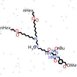 CCCCCC/C=C/COC(=O)CCCCCCCCN(CCCCCCCCC(=O)OC/C=C/CCCCCC)CCCN(C)CCCCCC(=O)Nc1nc(OCCCC)nc2c1[nH]c(=O)n2Cc1cccc(CC(=O)OC)c1